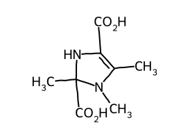 CC1=C(C(=O)O)NC(C)(C(=O)O)N1C